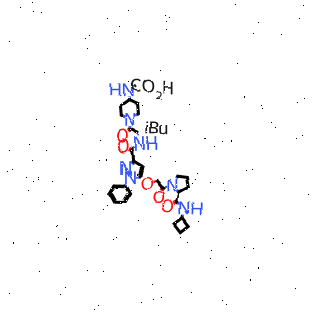 CC[C@H](C)[C@H](NC(=O)c1cc(OCC(=O)N2CCC[C@H]2C(=O)NC2CCC2)n(-c2ccccc2)n1)C(=O)N1CCC(NC(=O)O)CC1